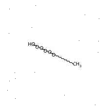 CCCCCCCCCCCCCCCOCCOCCOCCOCCOCCO